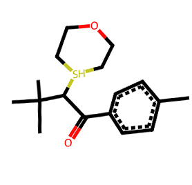 Cc1ccc(C(=O)C([SH]2CCOCC2)C(C)(C)C)cc1